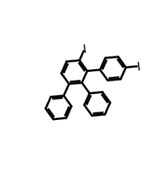 Ic1ccc(-c2c(I)ccc(-c3ccccc3)c2-c2ccccc2)cc1